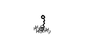 CC(C)(CCC/C=C/c1ccccc1)[Si](C)(C)O